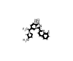 Cl.Cl.NC1CCN([C@H](c2ccc3nnc(-c4ccc5cccc(F)c5n4)n3c2)C(F)(F)F)C1